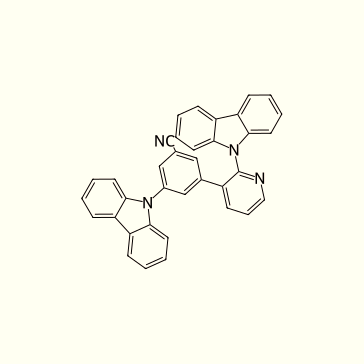 N#Cc1cc(-c2cccnc2-n2c3ccccc3c3ccccc32)cc(-n2c3ccccc3c3ccccc32)c1